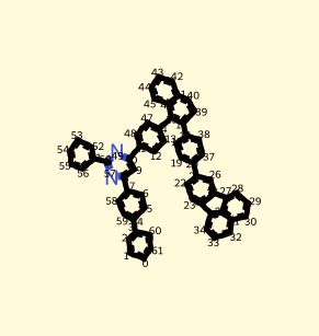 c1ccc(-c2ccc(-c3cc(-c4ccc(-c5c(-c6ccc(-c7ccc8c(c7)-c7cccc9cccc-8c79)cc6)ccc6ccccc56)cc4)nc(-c4ccccc4)n3)cc2)cc1